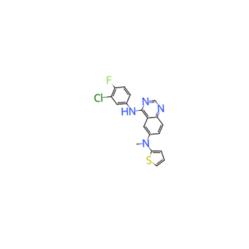 CN(c1ccc2ncnc(Nc3ccc(F)c(Cl)c3)c2c1)c1cccs1